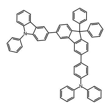 c1ccc(N(c2ccccc2)c2ccc(-c3ccc4c(c3)-c3cc(-c5ccc6c(c5)c5ccccc5n6-c5ccccc5)ccc3C4(c3ccccc3)c3ccccc3)cc2)cc1